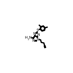 C#CCCCn1cnc(N)c2nc(Sc3ccc(C)cc3C)nc1-2